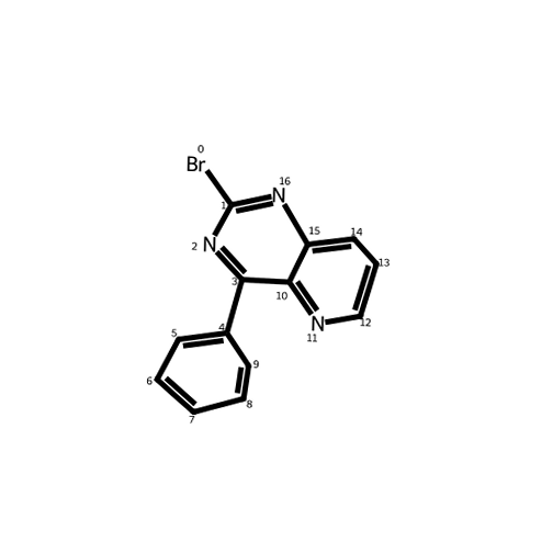 Brc1nc(-c2ccccc2)c2ncccc2n1